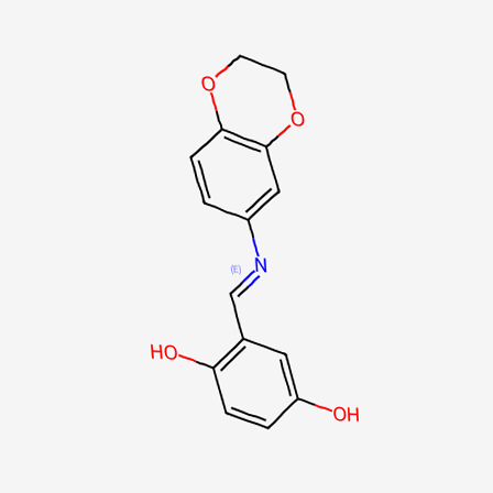 Oc1ccc(O)c(/C=N/c2ccc3c(c2)OCCO3)c1